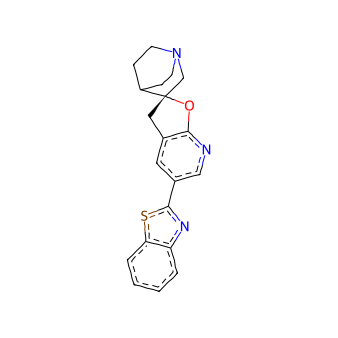 c1ccc2sc(-c3cnc4c(c3)C[C@@]3(CN5CCC3CC5)O4)nc2c1